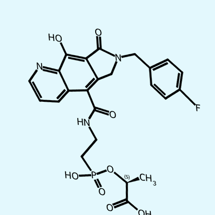 C[C@H](OP(=O)(O)CCNC(=O)c1c2c(c(O)c3ncccc13)C(=O)N(Cc1ccc(F)cc1)C2)C(=O)O